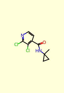 CC1(NC(=O)c2ccnc(Cl)c2Cl)CC1